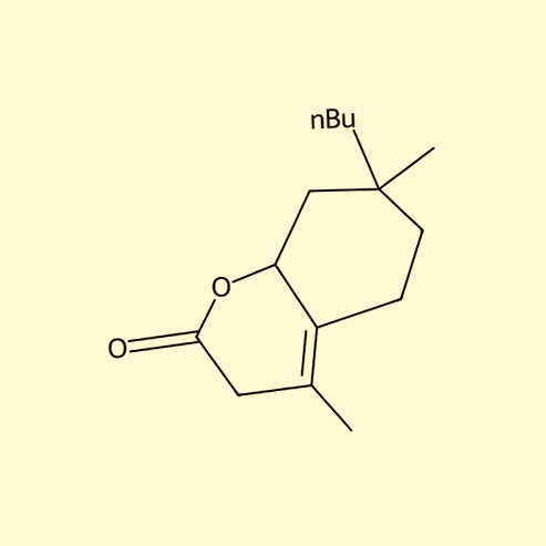 CCCCC1(C)CCC2=C(C)CC(=O)OC2C1